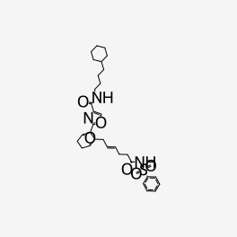 O=C(CCC=CCC1C2CCC(O2)C1c1nc(C(=O)NCCCCC2CCCCC2)co1)NS(=O)(=O)c1ccccc1